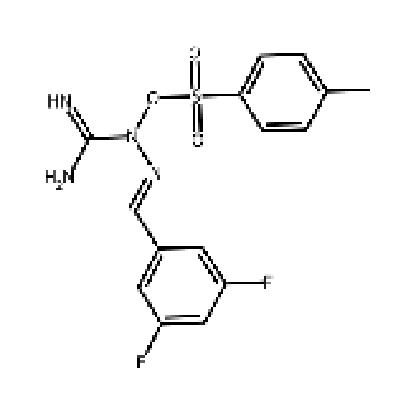 Cc1ccc(S(=O)(=O)ON(N=Cc2cc(F)cc(F)c2)C(=N)N)cc1